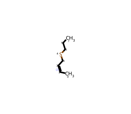 C/C=C\CSCCC